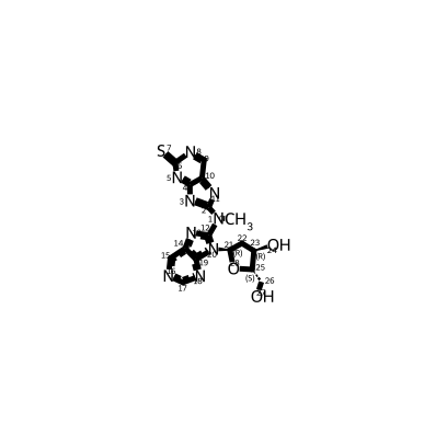 CN(C1=NC2=NC(=S)N=CC2=N1)c1nc2cncnc2n1[C@H]1C[C@@H](O)[C@H](CO)O1